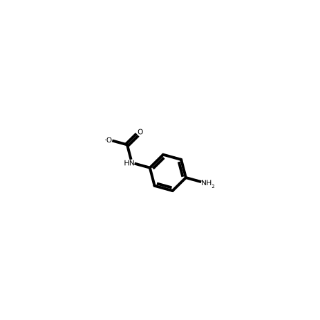 Nc1ccc(NC([O])=O)cc1